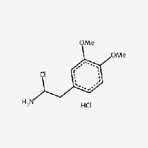 COc1ccc(CC(N)Cl)cc1OC.Cl